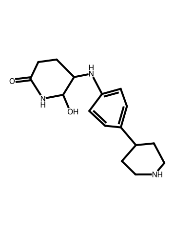 O=C1CCC(Nc2ccc(C3CCNCC3)cc2)C(O)N1